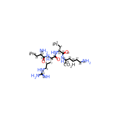 CC(C)C[C@H](NC(=O)[C@H](CCCNC(=N)N)NC(=O)[C@@H](N)CC(C)C)C(=O)N[C@@H](CCCCN)C(=O)O